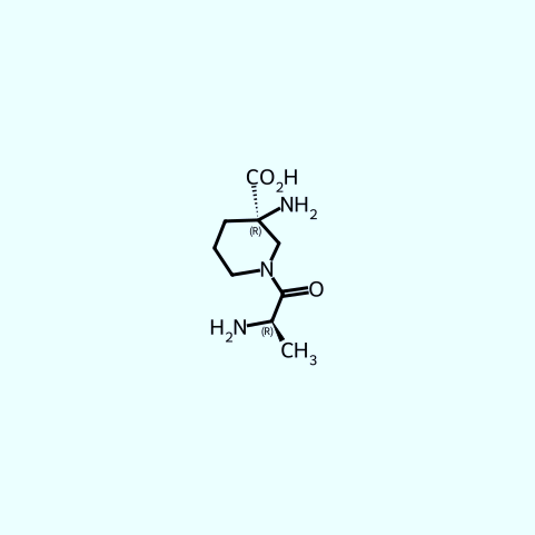 C[C@@H](N)C(=O)N1CCC[C@](N)(C(=O)O)C1